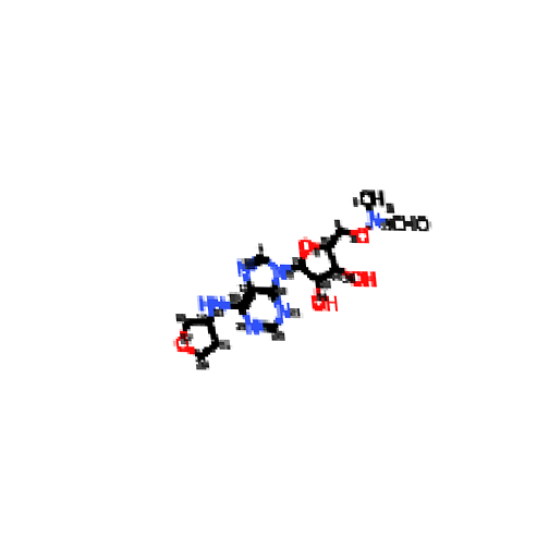 CN(C=O)OCC1OC(n2cnc3c(NC4CCOC4)ncnc32)C(O)C1O